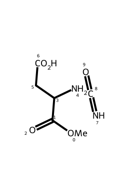 COC(=O)C(N)CC(=O)O.N=C=O